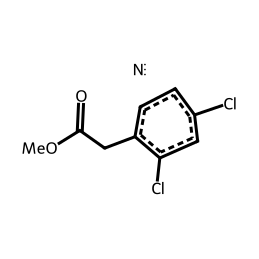 COC(=O)Cc1ccc(Cl)cc1Cl.[N]